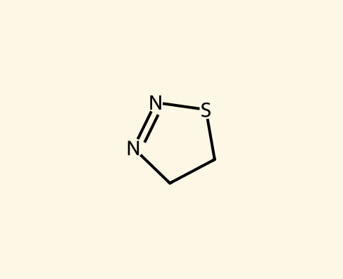 C1CSN=N1